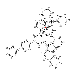 c1ccc(-c2ccc(-c3nc(-c4ccccc4)cc(-n4c5ccc6ccccc6c5c5cccc(-c6ccc7c(c6)N(c6ccccc6)c6ccccc6S7)c54)n3)cc2)cc1